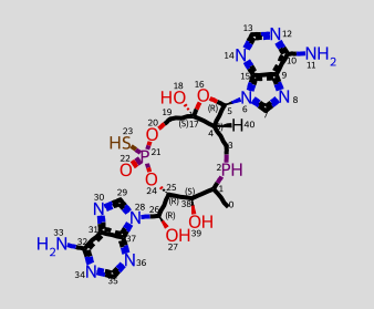 CC1PC[C@H]2[C@H](n3cnc4c(N)ncnc43)O[C@]2(O)COP(=O)(S)O[C@@H]([C@@H](O)n2cnc3c(N)ncnc32)[C@@H]1O